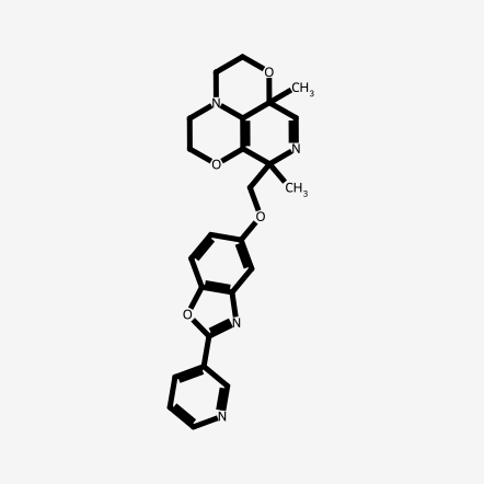 CC1(COc2ccc3oc(-c4cccnc4)nc3c2)N=CC2(C)OCCN3CCOC1=C32